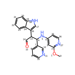 COc1cc(NC(c2cccnc2)C(C=O)c2c[nH]c3ccccc23)ccn1